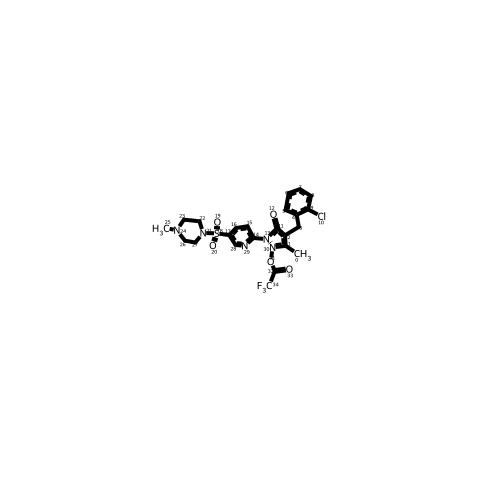 Cc1c(Cc2ccccc2Cl)c(=O)n(-c2ccc(S(=O)(=O)N3CCN(C)CC3)cn2)n1OC(=O)C(F)(F)F